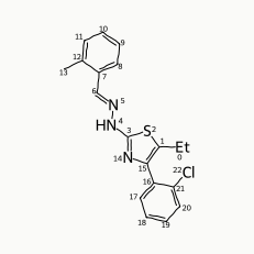 CCc1sc(N/N=C/c2ccccc2C)nc1-c1ccccc1Cl